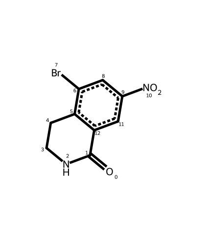 O=C1NCCc2c(Br)cc([N+](=O)[O-])cc21